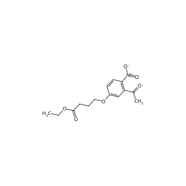 CCOC(=O)CCCOc1ccc([N+](=O)[O-])c(C(C)=O)c1